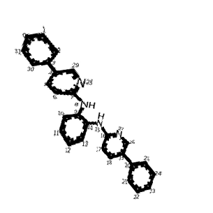 c1ccc(-c2ccc(Nc3ccccc3Nc3ccc(-c4ccccc4)cn3)nc2)cc1